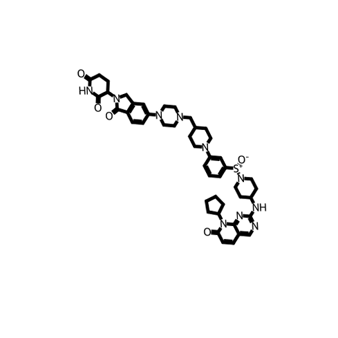 O=C1CCC(N2Cc3cc(N4CCN(CC5CCN(c6cccc([S+]([O-])N7CCC(Nc8ncc9ccc(=O)n(C%10CCCC%10)c9n8)CC7)c6)CC5)CC4)ccc3C2=O)C(=O)N1